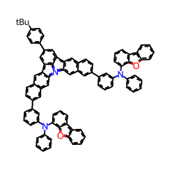 CC(C)(C)c1ccc(-c2cc3c4cc5ccc(-c6cccc(N(c7ccccc7)c7cccc8c7oc7ccccc78)c6)cc5cc4n4c5cc6cc(-c7cccc(N(c8ccccc8)c8cccc9c8oc8ccccc89)c7)ccc6cc5c(c2)c34)cc1